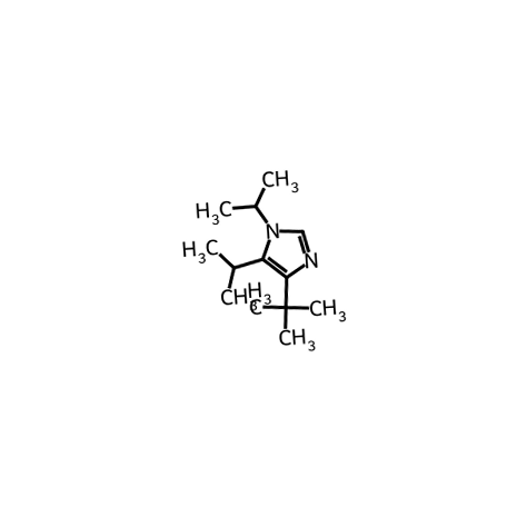 CC(C)c1c(C(C)(C)C)ncn1C(C)C